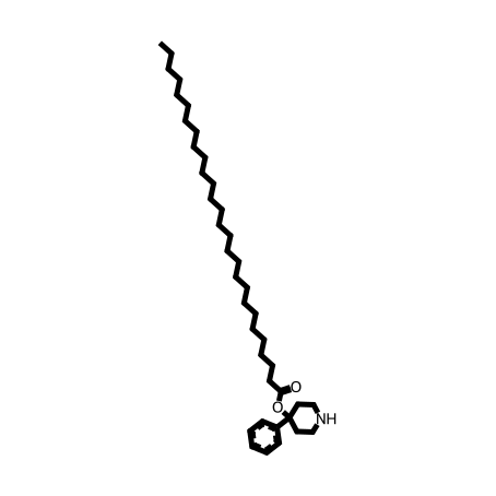 CCCCCCCCCCCCCCCCCCCCCCCCCCCC(=O)OC1(c2ccccc2)CCNCC1